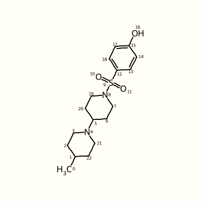 CC1CCN(C2CCN(S(=O)(=O)c3ccc(O)cc3)CC2)CC1